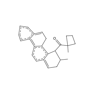 CC1CC=c2ccc3c(c2C1C(=O)C1(C)CCC1)CC=c1ccccc1=3